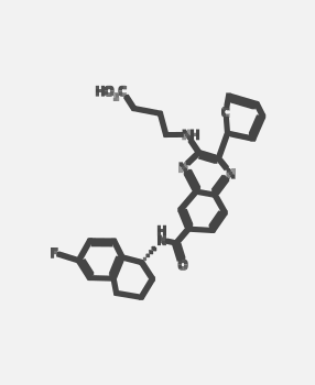 O=C(O)CCCNc1nc2cc(C(=O)N[C@@H]3CCCc4cc(F)ccc43)ccc2nc1C1C=CC=CC1